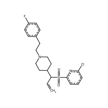 C=CC(C1CCN(CCc2ccc(F)cc2)CC1)S(=O)(=O)c1cccc(Cl)n1